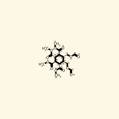 COC(=O)[C@H]1[C@H](C(=O)OC)[C@@H](C(=O)OC)[C@H](COC=O)[C@@H](COC=O)[C@@H]1C(=O)OC